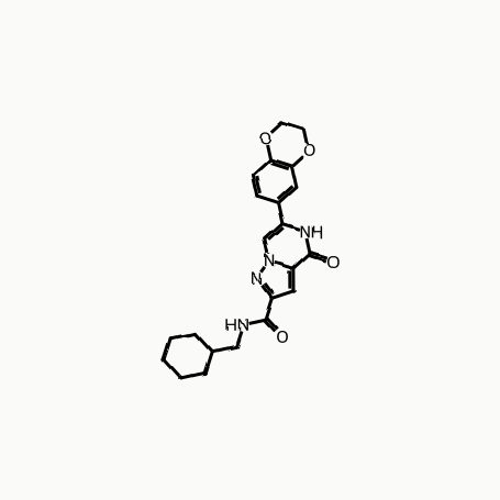 O=C(NCC1CCCCC1)c1cc2c(=O)[nH]c(-c3ccc4c(c3)OCCO4)cn2n1